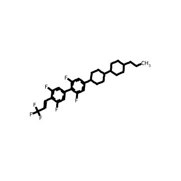 CCCC1CCC(C2CCC(c3cc(F)c(-c4cc(F)c(/C=C/C(F)(F)F)c(F)c4)c(F)c3)CC2)CC1